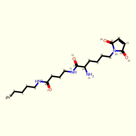 CC(C)CCCCNC(=O)CCCNC(=O)C(N)CCCCN1C(=O)C=CC1=O